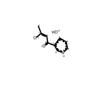 CC(Cl)=CC(=O)c1cccnc1.Cl